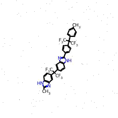 Cc1ccc(C(c2ccc(-c3nc4cc(C(c5ccc6[nH]c(C)nc6c5)(C(F)(F)F)C(F)(F)F)ccc4[nH]3)cc2)(C(F)(F)F)C(F)(F)F)cc1